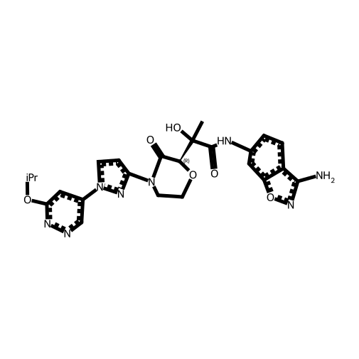 CC(C)Oc1cc(-n2ccc(N3CCO[C@H](C(C)(O)C(=O)Nc4ccc5c(N)noc5c4)C3=O)n2)cnn1